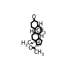 CC[C@]12CC[C@H]3[C@@H](CC[C@@H]4CC(=O)CC[C@@]43C)[C@@H]1CC[C@@H]2C(C)=O